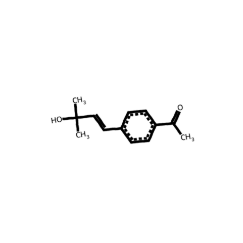 CC(=O)c1ccc(C=CC(C)(C)O)cc1